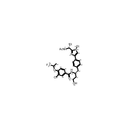 CC[C@@H](NC(C)=O)c1nc(-c2ccc(C[C@@H](CCO)NC(=O)c3ccc(OC(C)C(F)(F)F)c(Cl)c3)cc2)cn1CC